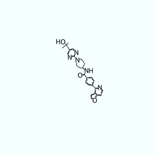 CC(C)(O)c1cnc(N2CCC(NC(=O)c3ccc(-c4nccc5occc45)cc3)CC2)nc1